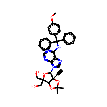 C#C[C@@]12OC(C)(C)OC1C(CO)(CO)O[C@H]2n1cnc2c(NC(c3ccccc3)(c3ccccc3)c3ccc(OC)cc3)ncnc21